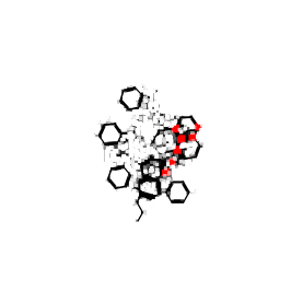 CCCC(C)(C)[Si](C)(C)O[SiH](O[Si]1(c2ccccc2)O[Si]2(c3ccccc3)O[Si](O[Si](C)(C)C)(c3ccccc3)O[Si]3(c4ccccc4)O[Si](O)(c4ccccc4)O[Si](c4ccccc4)(O1)O[Si](C)(C)C(C)(C)[C@@](C)(CC)[Si](C)(C)O[Si](c1ccccc1)(O3)O2)c1ccccc1